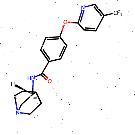 O=C(N[C@H]1CN2CCC1CC2)c1ccc(Oc2ccc(C(F)(F)F)cn2)cc1